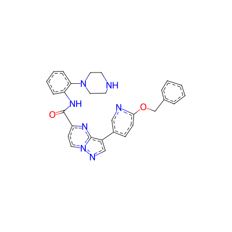 O=C(Nc1ccccc1N1CCNCC1)c1ccn2ncc(-c3ccc(OCc4ccccc4)nc3)c2n1